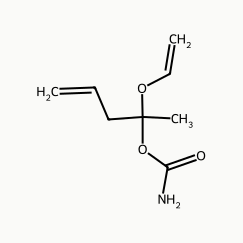 C=CCC(C)(OC=C)OC(N)=O